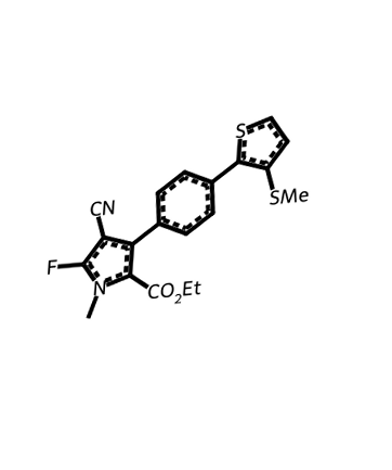 CCOC(=O)c1c(-c2ccc(-c3sccc3SC)cc2)c(C#N)c(F)n1C